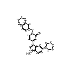 O=c1cc(-c2cn(S)c3ncc(N4CCOCC4)cc23)ccn1Cc1ccc2c(c1)OCCO2